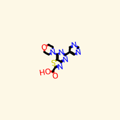 O=C(O)c1nc2nc(-c3cncnc3)nc(N3CCOCC3)c2s1